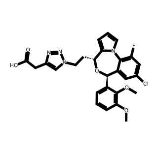 COc1cccc([C@H]2O[C@H](CCn3cc(CC(=O)O)nn3)c3cccn3-c3c(F)cc(Cl)cc32)c1OC